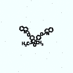 CCSC(=O)C(C)(c1ccc(OCc2ccc3ccccc3n2)cc1)c1ccc(OCc2ccc3ccccc3n2)cc1